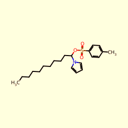 CCCCCCCCCCC(OS(=O)(=O)c1ccc(C)cc1)n1cccc1